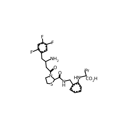 CC(C)C(Nc1ccccc1CNC(=O)C1SCCN1C(=O)CC(N)Cc1cc(F)c(F)cc1F)C(=O)O